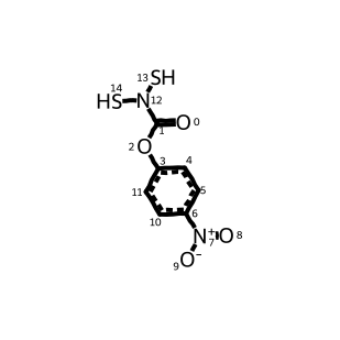 O=C(Oc1ccc([N+](=O)[O-])cc1)N(S)S